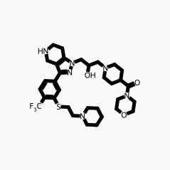 O=C(C1CCN(CC(O)Cn2nc(-c3ccc(C(F)(F)F)c(SCCN4CCCCC4)c3)c3c2CCNC3)CC1)N1CCOCC1